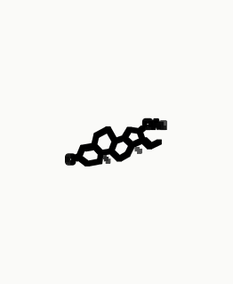 CC=C1C(OC(C)=O)CC2C3CCC4=CC(=O)CC[C@]4(C)C3CC[C@]12C